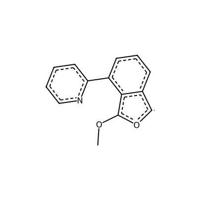 COc1o[c]c2cccc(-c3ccccn3)c12